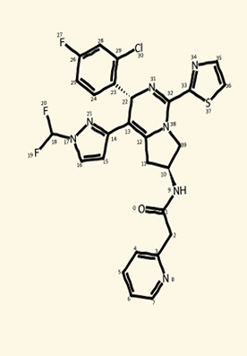 O=C(Cc1ccccn1)N[C@H]1CC2=C(c3ccn(C(F)F)n3)[C@H](c3ccc(F)cc3Cl)N=C(c3nccs3)N2C1